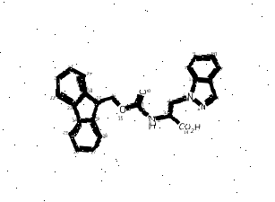 O=C(NC(Cn1ncc2ccccc21)C(=O)O)OCC1c2ccccc2-c2ccccc21